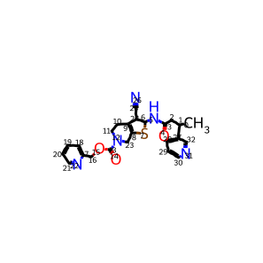 CC(CC(=O)NC1SC2=C(CCN(C(=O)OCc3ccccn3)C2)C1C#N)c1cccnc1